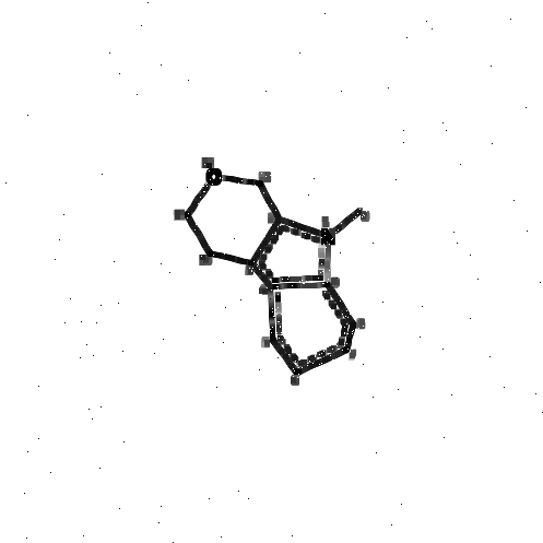 Cn1c2c(c3ccccc31)CCOC2